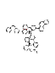 CC1CC=Cc2c1n(-c1ccccc1-c1ccc(N(c3ccc(-c4ccc5c(ccc6ccccc65)c4)cc3)c3cc(-c4cccc5c4ccc4ccccc45)ccc3-c3ccccc3)cc1)c1ccccc21